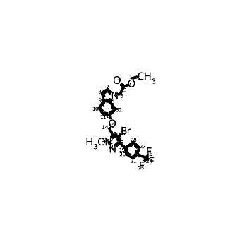 CCOC(=O)Cn1ccc2ccc(OCc3c(Br)c(-c4ccc(C(F)(F)F)cc4)nn3C)cc21